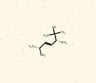 C[C@H](/C=C/[C@@H](C)N)C(C)(C)O